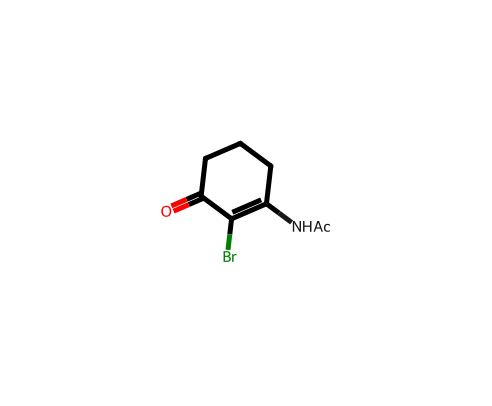 CC(=O)NC1=C(Br)C(=O)CCC1